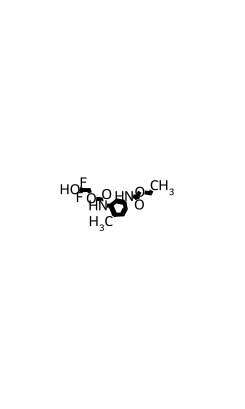 CCOC(=O)Nc1ccc(C)c(NC(=O)OCC(O)(F)F)c1